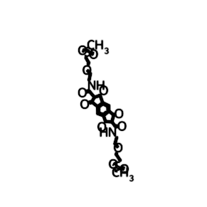 CS(=O)(=O)CCOCCNC(=O)C1C(=O)c2cc3c(cc2C1=O)C(=O)C(C(=O)NCCOCCS(C)(=O)=O)C3=O